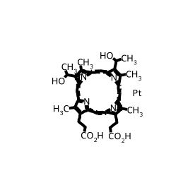 CC1=C(CCC(=O)O)c2cc3[nH]c(cc4nc(cc5[nH]c(cc1n2)c(C(C)O)c5C)C(C(C)O)=C4C)c(C)c3CCC(=O)O.[Pt]